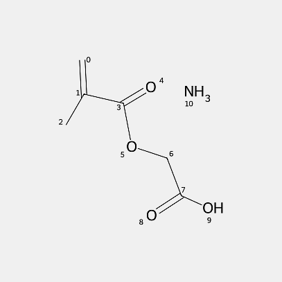 C=C(C)C(=O)OCC(=O)O.N